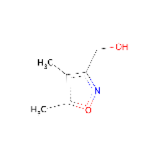 Cc1onc(CO)c1C